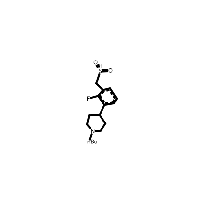 CCCCN1CCC(c2cccc(C[SH](=O)=O)c2F)CC1